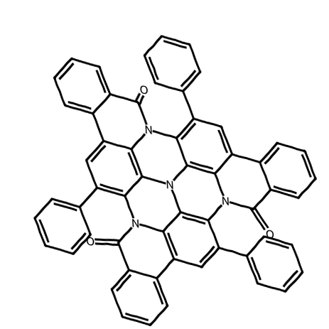 O=c1c2ccccc2c2cc(-c3ccccc3)c3c4c2n1c1c(-c2ccccc2)cc2c5ccccc5c(=O)n5c6c(-c7ccccc7)cc7c8ccccc8c(=O)n3c7c6n4c1c25